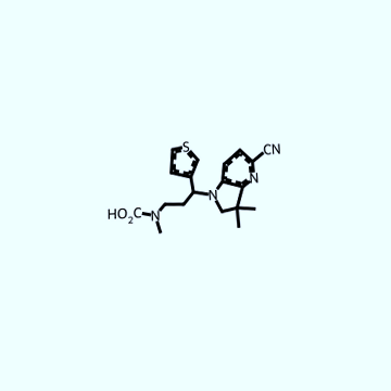 CN(CCC(c1ccsc1)N1CC(C)(C)c2nc(C#N)ccc21)C(=O)O